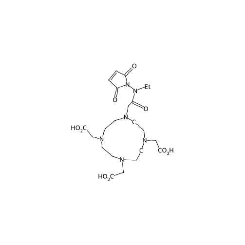 CCN(C(=O)CN1CCN(CC(=O)O)CCN(CC(=O)O)CCN(CC(=O)O)CC1)N1C(=O)C=CC1=O